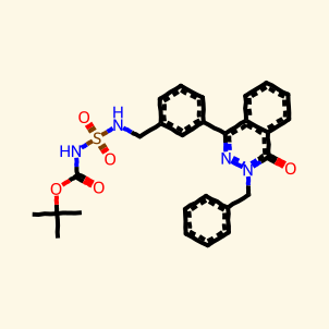 CC(C)(C)OC(=O)NS(=O)(=O)NCc1cccc(-c2nn(Cc3ccccc3)c(=O)c3ccccc23)c1